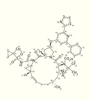 C[C@@H]1CCC=C[C@@H]2C[C@@]2(C(=O)NS(=O)(=O)C2(C)CC2)NC(=O)[C@@H]2C[C@@H](Oc3cc(-c4ccccc4)nc(-c4nccs4)c3)CN2C(=O)[C@@H](N(C(=O)O)C(C)(C)C(F)(F)F)[C@H](C)C1